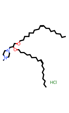 CCCCCCCC/C=C\CCCCCCCCOCC(CN1CCN(C)CC1)OCCCCCCCC/C=C\CCCCCCCC.Cl